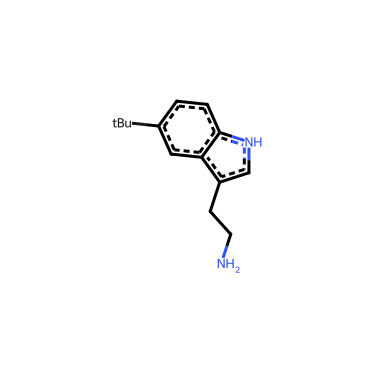 CC(C)(C)c1ccc2[nH]cc(CCN)c2c1